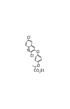 CCOC(=O)C(C)Oc1ccc(Oc2cc3cc(Cl)ccc3nc2Cl)cc1